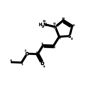 CCOC(=O)C=CC1SC=CN1N